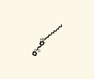 CCCCCCCCCCCCCCNc1ccc(C=CC(=O)Oc2ccccc2)cc1